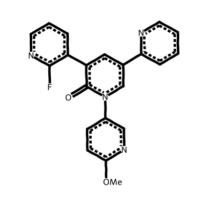 COc1ccc(-n2cc(-c3ccccn3)cc(-c3cccnc3F)c2=O)cn1